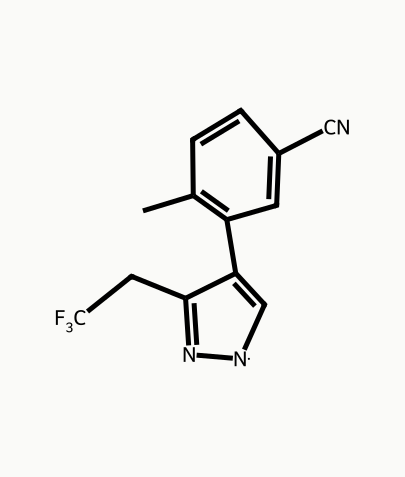 Cc1ccc(C#N)cc1C1=C[N]N=C1CC(F)(F)F